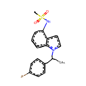 CC(=O)OC(c1ccc(Br)cc1)n1ccc2c(NS(C)(=O)=O)cccc21